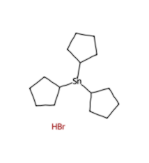 Br.C1CC[CH]([Sn]([CH]2CCCC2)[CH]2CCCC2)C1